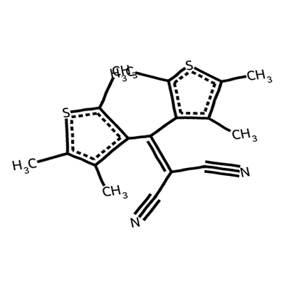 Cc1sc(C)c(C(=C(C#N)C#N)c2c(C)sc(C)c2C)c1C